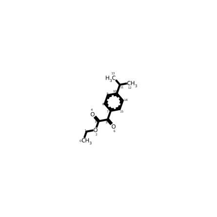 CCOC(=O)C(=O)c1ccc(C(C)C)cc1